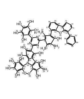 Bc1c(B)c(-c2nc(-c3c(O)c(O)c(O)c(O)c3O)nc(-c3c(O)c(O)c4c(c3O)c3c(O)c(B)c(O)c5ooc6c(O)c(O)c(O)c(O)c6n4c53)n2)c(B)c(-c2cccc3c2oc2c(-c4ccccc4)cccc23)c1O